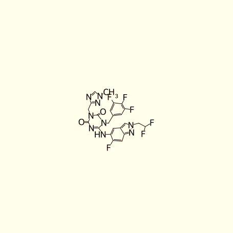 Cn1cnc(Cn2c(=O)nc(Nc3cc4cn(CC(F)F)nc4cc3F)n(Cc3cc(F)c(F)c(F)c3)c2=O)n1